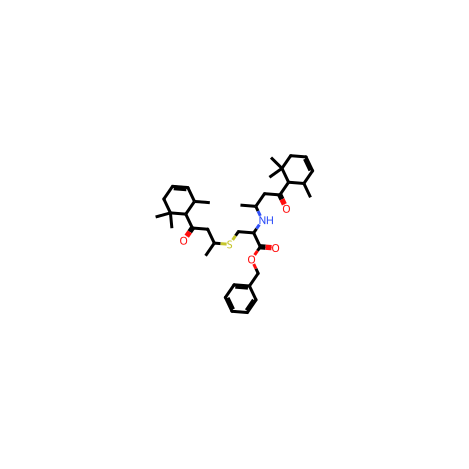 CC(CC(=O)C1C(C)C=CCC1(C)C)NC(CSC(C)CC(=O)C1C(C)C=CCC1(C)C)C(=O)OCc1ccccc1